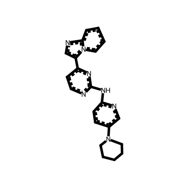 c1ccn2c(-c3ccnc(Nc4ccc(N5CCCCC5)cn4)n3)cnc2c1